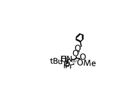 COC(=O)C(OCOCc1ccccc1)[C@H](CC(C)C)NC(=O)OC(C)(C)C